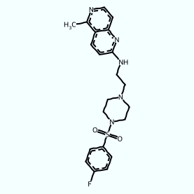 Cc1nccc2nc(NCCN3CCN(S(=O)(=O)c4ccc(F)cc4)CC3)ccc12